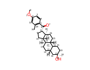 COc1ccc(C(=O)[C@H]2CC[C@H]3[C@@H]4CC[C@H]5C[C@](C)(O)CC[C@]5(C)[C@H]4CC[C@]23C)c(C)c1